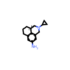 Nc1cc2c3c(c1)CN(C1CC1)C[C@H]3CCC2